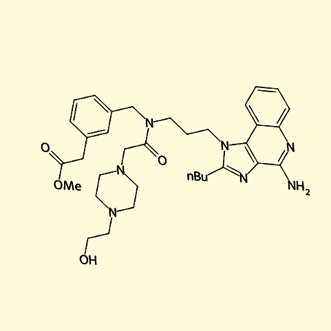 CCCCc1nc2c(N)nc3ccccc3c2n1CCCN(Cc1cccc(CC(=O)OC)c1)C(=O)CN1CCN(CCO)CC1